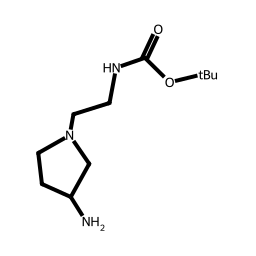 CC(C)(C)OC(=O)NCCN1CCC(N)C1